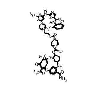 Cc1nc(Nc2ncc(C(=O)Nc3c(C)cccc3Cl)s2)cc(N2CCN(CCOC(=O)N3CCN(C(=O)OC4CCC(Nc5cc(-n6nc(C(F)(F)F)c7c6CC(C)(C)CC7=O)ccc5C(N)=O)CC4)CC3)CC2)n1